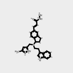 Cc1cc(CN(CCc2c[nH]c3ccccc23)C2CCc3cc(C=CC(=O)NO)ccc32)[nH]n1